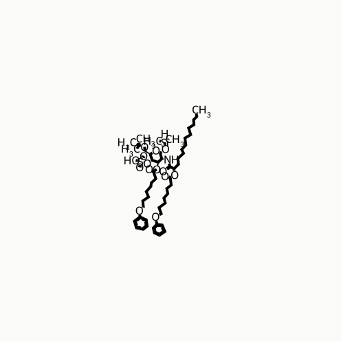 CCCCCCCCCCCCC(OC(=O)CCCCCCCOc1ccccc1)C(=O)N[C@H]1C(O[SiH](C)C)O[C@H](COC(C)(C)C)[C@@H](OS(=O)(=O)O)[C@@H]1OC(=O)CCCCCCCOc1ccccc1